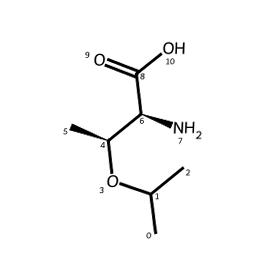 CC(C)O[C@@H](C)[C@H](N)C(=O)O